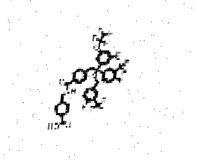 O=C(NCC1CCC(C(=O)O)CC1)c1ccc(CC(NC(=O)c2ccc(F)c(C(F)(F)F)c2)(c2cc(F)cc(OC(F)(F)C(F)F)c2)c2ccc(F)c(C(F)(F)F)c2)cc1